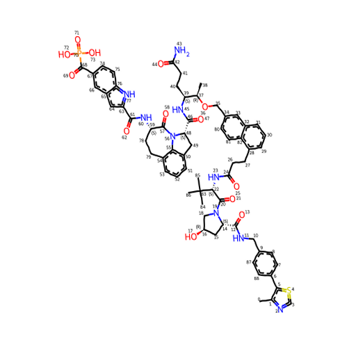 Cc1ncsc1-c1ccc(CNC(=O)[C@@H]2C[C@@H](O)CN2C(=O)[C@@H](NC(=O)CCc2cccc3cc(CO[C@H](C)[C@H](CCC(N)=O)NC(=O)[C@@H]4Cc5cccc6c5N4C(=O)[C@@H](NC(=O)c4cc5cc(C(=O)P(=O)(O)O)ccc5[nH]4)CC6)ccc23)C(C)(C)C)cc1